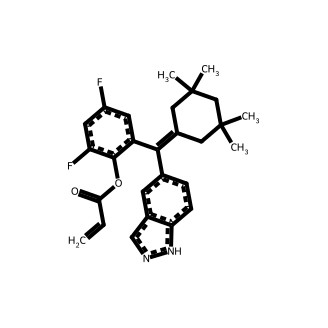 C=CC(=O)Oc1c(F)cc(F)cc1C(=C1CC(C)(C)CC(C)(C)C1)c1ccc2[nH]ncc2c1